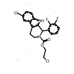 O=C(OCCCl)N1CCc2c([nH]c3ccc(Cl)cc23)C1c1cccc(F)c1F